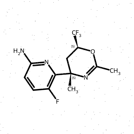 CC1=N[C@](C)(c2nc(N)ccc2F)C[C@@H](C(F)(F)F)O1